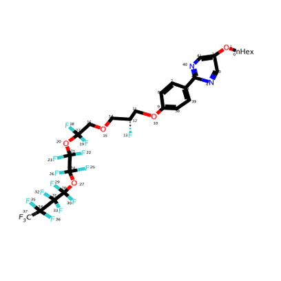 CCCCCCOc1cnc(-c2ccc(OC[C@H](F)COCC(F)(F)OC(F)(F)C(F)(F)OC(F)(F)C(F)(F)C(F)(F)C(F)(F)F)cc2)nc1